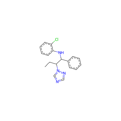 CCC(C(Nc1ccccc1Cl)c1ccccc1)n1cncn1